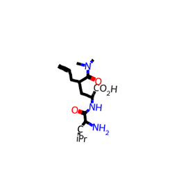 C=CCC(CC(NC(=O)C(N)CC(C)C)C(=O)O)C(=O)N(C)C